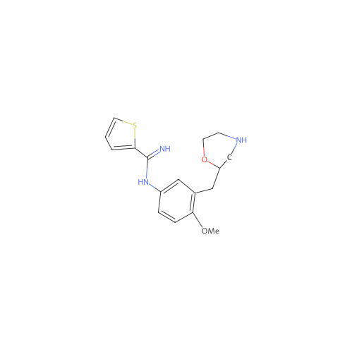 COc1ccc(NC(=N)c2cccs2)cc1CC1CNCCO1